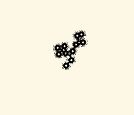 c1ccc(-c2cccc(C3c4ccc(-c5ccc6c(c5)c5ccccc5n6-c5cccc6ccccc56)cc4-c4c3ccc3c4-c4ccccc4C3(c3ccccc3)c3ccccc3)c2)cc1